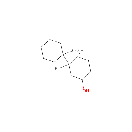 CCC1(C2(C(=O)O)CCCCC2)CCCC(O)C1